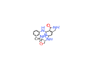 Cc1cccc(Nc2nc(NC3COCC3N)cc3c2C(=O)NC3)c1